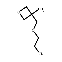 CC1(COCCC#N)COC1